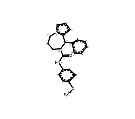 O=C(Nc1ccc(OC(F)(F)F)cc1)[C@H]1CCCn2cccc2[C@H]1c1ccccc1